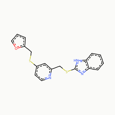 c1coc(CSc2ccnc(CSc3nc4ccccc4[nH]3)c2)c1